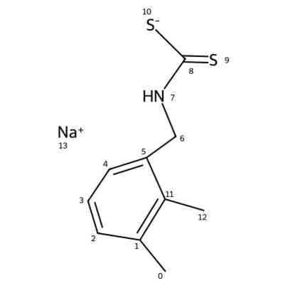 Cc1cccc(CNC(=S)[S-])c1C.[Na+]